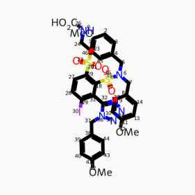 COc1ccc(CN(Cc2ccc(OC)cc2)S(=O)(=O)c2c(S(=O)(=O)CCNC(=O)O)ccc(I)c2-c2nnnn2Cc2ccc(OC)cc2)cc1